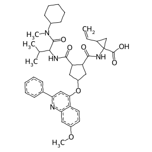 C=CC1CC1(NC(=O)C1CC(Oc2cc(-c3ccccc3)nc3cc(OC)ccc23)CC1C(=O)NC(C(=O)N(C)C1CCCCC1)C(C)C)C(=O)O